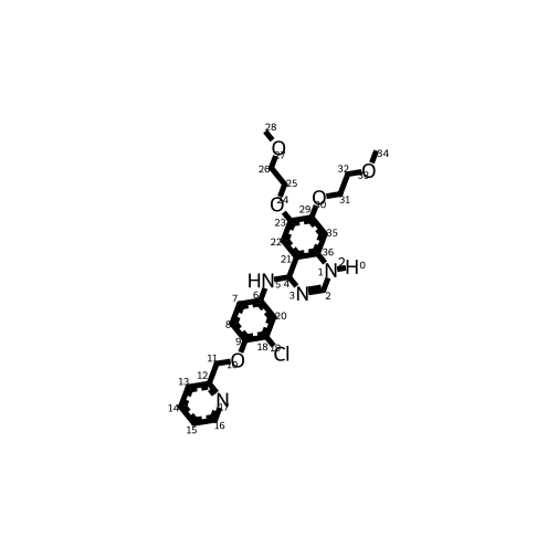 [2H]N1C=NC(Nc2ccc(OCc3ccccn3)c(Cl)c2)c2cc(OCCOC)c(OCCOC)cc21